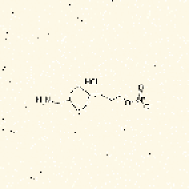 Cl.NCC1CCC(CCCO[N+](=O)[O-])CC1